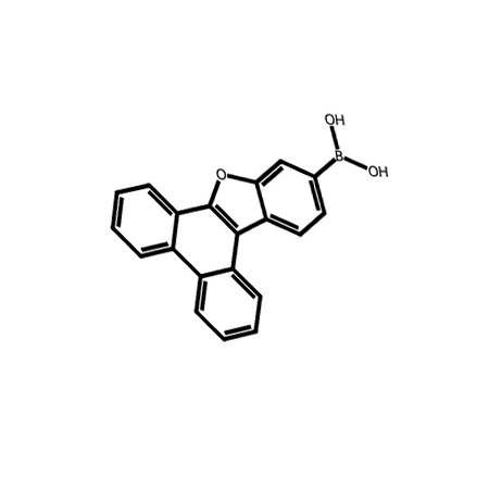 OB(O)c1ccc2c(c1)oc1c3ccccc3c3ccccc3c21